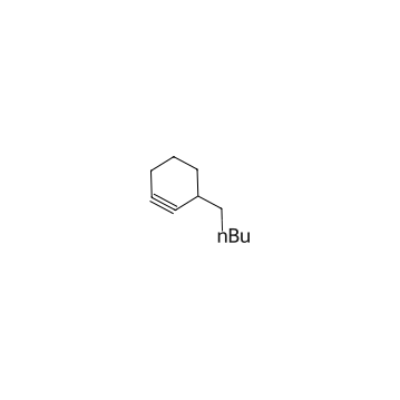 CCCCCC1C#CCCC1